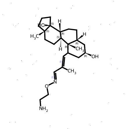 CC(/C=N/OCCN)=C\C1C[C@H](O)C[C@H]2CC[C@@H]3[C@H](CC[C@]4(C)CCC[C@]34O)[C@@]12C